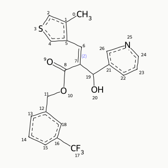 Cc1cscc1/C=C(\C(=O)OCc1cccc(C(F)(F)F)c1)C(O)c1cccnc1